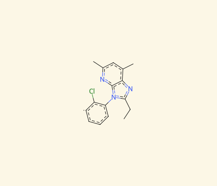 CCc1nc2c(C)cc(C)nc2n1-c1ccc[c]c1Cl